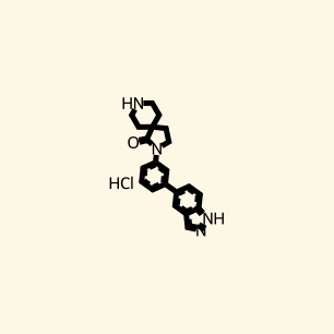 Cl.O=C1N(c2cccc(-c3ccc4[nH]ncc4c3)c2)CCC12CCNCC2